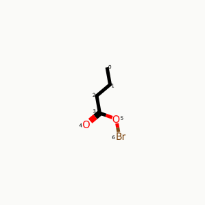 CCCC(=O)OBr